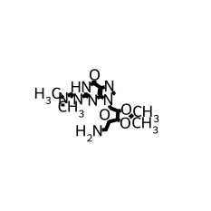 CN(C)/C=N/c1nc2c(ncn2C2OC(CN)C3OC(C)(C)OC32)c(=O)[nH]1